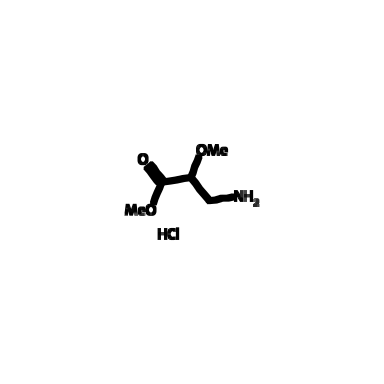 COC(=O)C(CN)OC.Cl